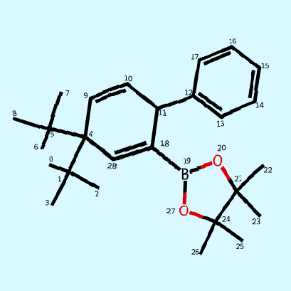 CC(C)(C)C1(C(C)(C)C)C=CC(c2ccccc2)C(B2OC(C)(C)C(C)(C)O2)=C1